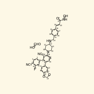 N#Cc1ccc(-c2c(-c3ccc4c(c3)OCO4)cnc(N3CCC(NCc4ccc(/C=C/C(=O)NO)cc4)CC3)c2C#N)cc1F.O=CO